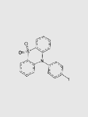 O=S1(=O)c2ccccc2N(c2ccc(I)cc2)c2ccccc21